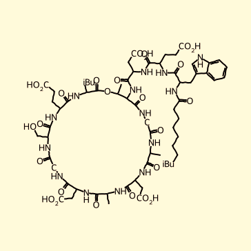 CCC(C)CCCCCCC(=O)NC(Cc1c[nH]c2ccccc12)C(=O)NC(CCC(=O)O)C(=O)NC(CC(=O)O)C(=O)NC1C(=O)NCC(=O)NC(C)C(=O)NC(CC(=O)O)C(=O)NC(C)C(=O)NC(CC(=O)O)C(=O)NCC(=O)NC(CO)C(=O)NC(CCC(=O)O)C(=O)NC(C(C)CC)C(=O)OC1C